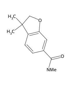 CNC(=O)c1ccc2c(c1)OCC2(C)C